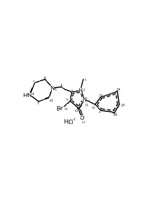 Cl.Cn1c(CN2CCNCC2)c(Br)c(=O)n1-c1ccccc1